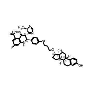 Cn1ncnc1[C@H]1c2n[nH]c(=O)c3cc(F)cc(c23)N[C@@H]1c1ccc(NCCCO[C@H]2CC[C@H]3[C@@H]4CCc5cc(O)ccc5[C@H]4CC[C@]23C)cc1